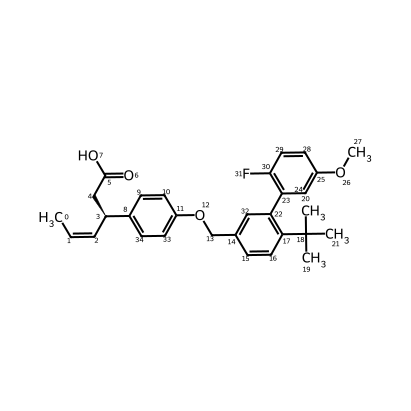 C/C=C\[C@@H](CC(=O)O)c1ccc(OCc2ccc(C(C)(C)C)c(-c3cc(OC)ccc3F)c2)cc1